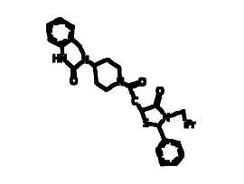 CC(C)CN1C(=O)C(CC(=O)N2CCC(N3Cc4ccccc4NC3=O)CC2)SC1c1ccccc1